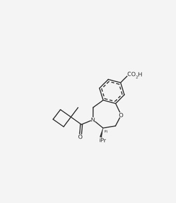 CC(C)[C@@H]1COc2cc(C(=O)O)ccc2CN1C(=O)C1(C)CCC1